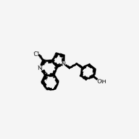 Oc1ccc(CCn2ccc3c(Cl)nc4ccccc4c32)cc1